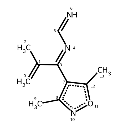 C=C(C)/C(=N\C=N)c1c(C)noc1C